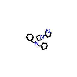 c1ccc(CN(Cc2ccccc2)C2CCN(c3cccnc3)C2)cc1